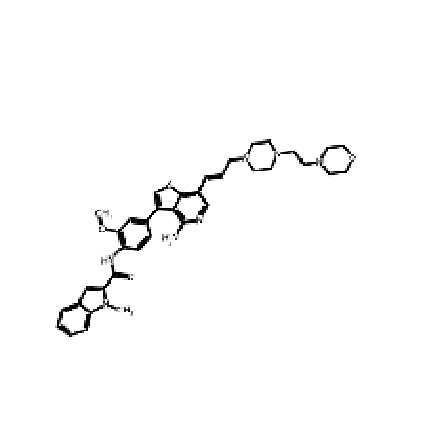 COc1cc(-c2csc3c(/C=C/CN4CCN(CCN5CCOCC5)CC4)cnc(N)c23)ccc1NC(=O)c1cc2ccccc2n1C